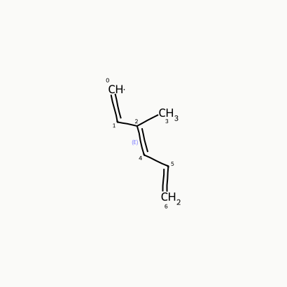 [CH]=C/C(C)=C/C=C